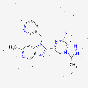 Cc1cc2c(cn1)nc(-c1cn3c(C)nnc3c(N)n1)n2Cc1cccnc1